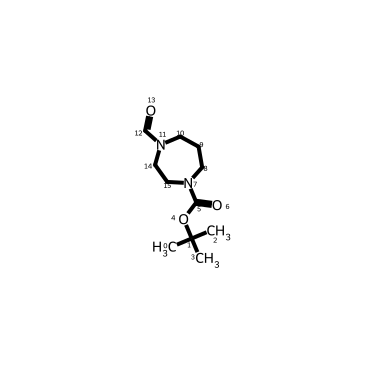 CC(C)(C)OC(=O)N1CCCN(C=O)CC1